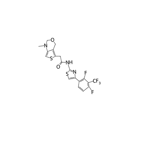 CN1COCc2c1csc2CC(=O)Nc1nc(-c2ccc(F)c(C(F)(F)F)c2F)cs1